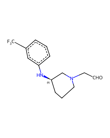 O=CCN1CCC[C@@H](Nc2cccc(C(F)(F)F)c2)C1